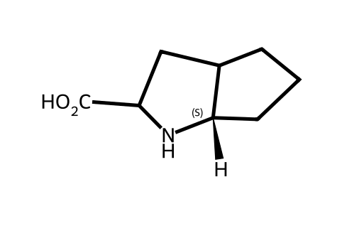 O=C(O)C1CC2CCC[C@@H]2N1